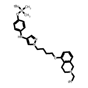 C[C](C)CN1CCc2c(cccc2OCCCCn2cc(Nc3ccc(O[Si](C)(C)C(C)(C)C)cc3)cn2)C1